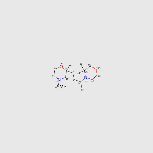 CSN1CCOC(C)(CCC(C)N2CCOCC2(C)C)C1